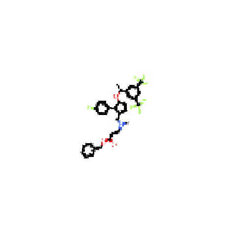 C[C@H](OC1CCC(CN(C)CCC(=O)OCc2ccccc2)C1c1ccc(F)cc1)c1cc(C(F)(F)F)cc(C(F)(F)F)c1